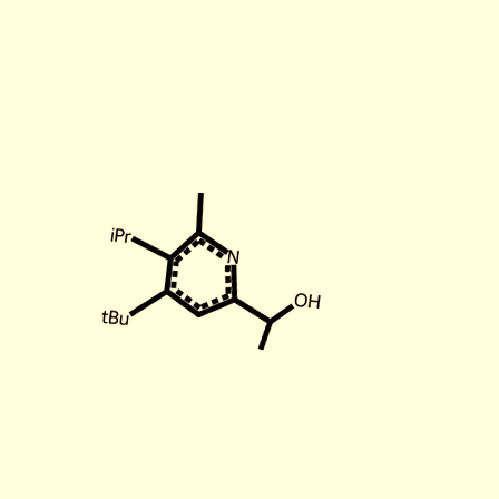 Cc1nc(C(C)O)cc(C(C)(C)C)c1C(C)C